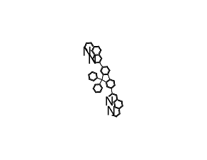 c1ccc(C2(c3ccccc3)c3cc(-c4cnc5c(ccc6cccnc65)c4)ccc3-c3ccc(-c4cnc5c(ccc6cccnc65)c4)cc32)cc1